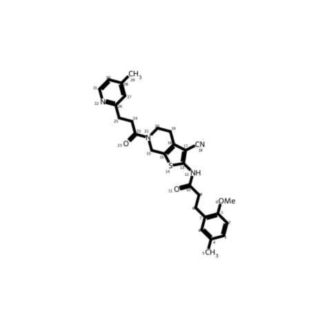 COc1ccc(C)cc1CCC(=O)Nc1sc2c(c1C#N)CCN(C(=O)CCc1cc(C)ccn1)C2